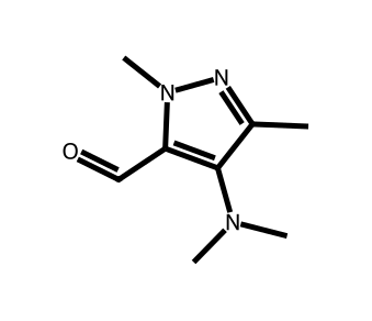 Cc1nn(C)c(C=O)c1N(C)C